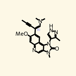 CC#C/C(=C\N(C)C)c1cc2c(cc1OC)ncc1c2n(-c2c[nH]nc2C)c(=O)n1C